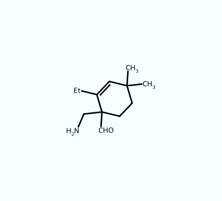 CCC1=CC(C)(C)CCC1(C=O)CN